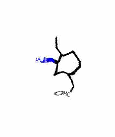 CC1CCC(CC=O)CC1=N